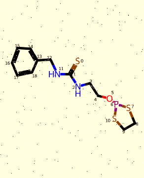 S=C(NCCOP1SCCS1)NCc1ccccc1